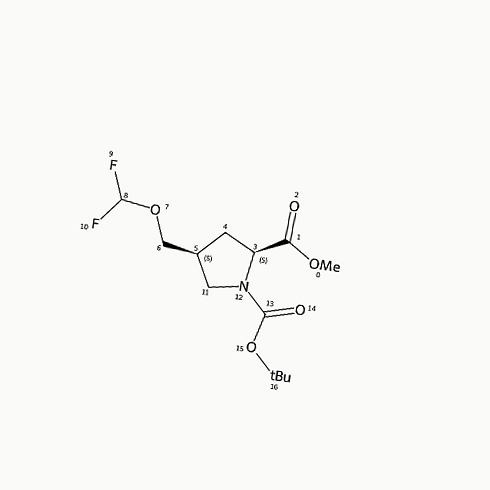 COC(=O)[C@@H]1C[C@H](COC(F)F)CN1C(=O)OC(C)(C)C